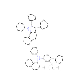 CC1(C)c2ccccc2-c2ccc(N(c3ccc(-c4cccc5c4ccc4c(-c6ccccc6)c(-c6ccccc6)n(-c6ccccc6)c45)cc3)c3cccc4ccccc34)cc21